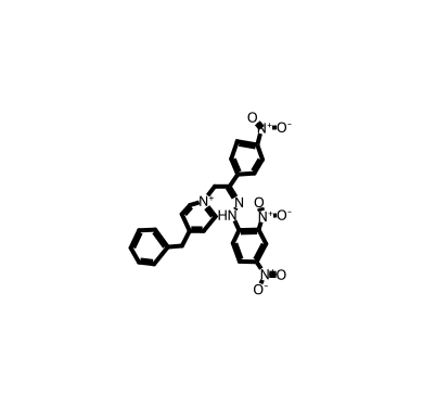 O=[N+]([O-])c1ccc(/C(C[n+]2ccc(Cc3ccccc3)cc2)=N/Nc2ccc([N+](=O)[O-])cc2[N+](=O)[O-])cc1